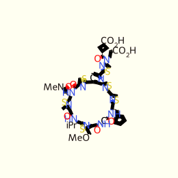 CNC(=O)C[C@@H]1NC(=O)c2csc(n2)-c2ccc(-c3nc(N(CCC(=O)O)C(=O)[C@H]4C[C@H](C(=O)O)C4)cs3)nc2-c2csc(n2)-c2csc(n2)[C@H](Cc2ccccc2)NC(=O)CNC(=O)c2nc(sc2COC)C(C(C)C)NC(=O)c2nc1sc2C